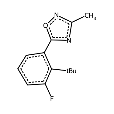 Cc1noc(-c2cccc(F)c2C(C)(C)C)n1